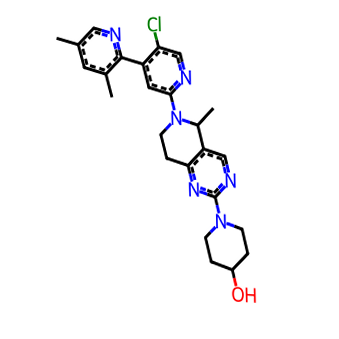 Cc1cnc(-c2cc(N3CCc4nc(N5CCC(O)CC5)ncc4C3C)ncc2Cl)c(C)c1